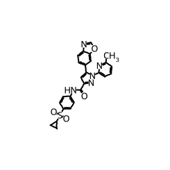 Cc1cccc(-n2nc(C(=O)Nc3ccc(S(=O)(=O)C4CC4)cc3)cc2-c2ccc3ncoc3c2)n1